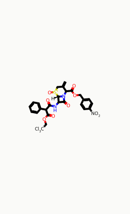 C=C1C[S+]([O-])[C@H]2C(NC(=O)C(C(=O)OCC(Cl)(Cl)Cl)c3ccccc3)C(=O)N2C1C(=O)OCc1ccc([N+](=O)[O-])cc1